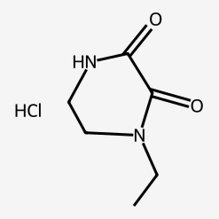 CCN1CCNC(=O)C1=O.Cl